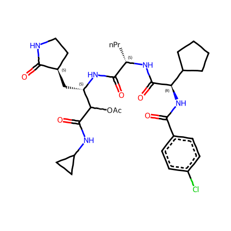 CCC[C@H](NC(=O)[C@H](NC(=O)c1ccc(Cl)cc1)C1CCCC1)C(=O)N[C@@H](C[C@@H]1CCNC1=O)C(OC(C)=O)C(=O)NC1CC1